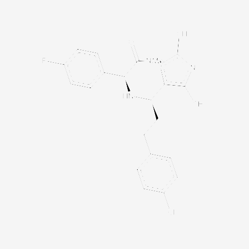 CNC(=O)[C@@H](N[C@H](CCc1ccc(C(F)(F)F)cc1)c1sc(C)nc1C)c1ccc(F)cc1